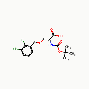 CC(C)(C)OC(=O)N[C@H](COCc1cccc(Cl)c1Cl)C(=O)O